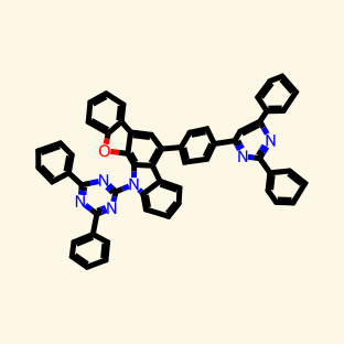 c1ccc(-c2cc(-c3ccc(-c4cc5c6ccccc6oc5c5c4c4ccccc4n5-c4nc(-c5ccccc5)nc(-c5ccccc5)n4)cc3)nc(-c3ccccc3)n2)cc1